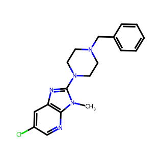 Cn1c(N2CCN(Cc3ccccc3)CC2)nc2cc(Cl)cnc21